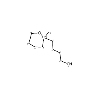 C[Si]1(CCCCC#N)CCCCO1